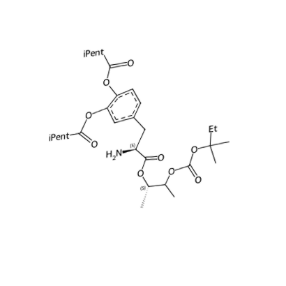 CCCC(C)C(=O)Oc1ccc(C[C@H](N)C(=O)O[C@@H](C)C(C)OC(=O)OC(C)(C)CC)cc1OC(=O)C(C)CCC